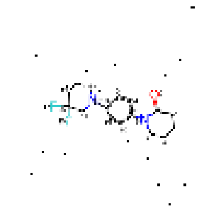 O=C1CCCCN1c1ccc(N2CCCC(F)(F)C2)cc1